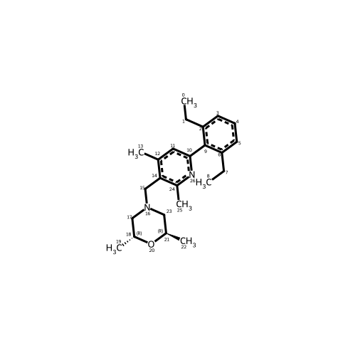 CCc1cccc(CC)c1-c1cc(C)c(CN2C[C@@H](C)O[C@H](C)C2)c(C)n1